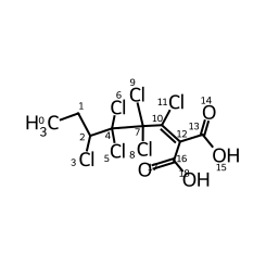 CCC(Cl)C(Cl)(Cl)C(Cl)(Cl)C(Cl)=C(C(=O)O)C(=O)O